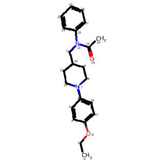 CCOc1ccc(N2CCC(CN(C(C)=O)c3ccccc3)CC2)cc1